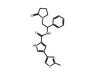 Cc1nc(-c2c[nH]c(C(=O)NC(CN3CCCC3=O)c3ccccc3)c2)cs1